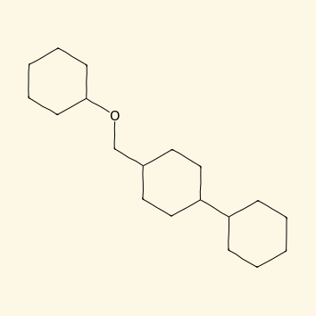 C1CCC(OCC2CCC(C3CCCCC3)CC2)CC1